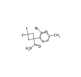 Cc1ccc(C2(C(N)=O)CC(F)(F)C2)c(Br)n1